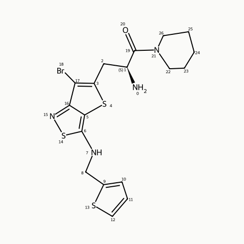 N[C@@H](Cc1sc2c(NCc3cccs3)snc2c1Br)C(=O)N1CCCCC1